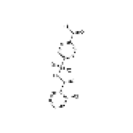 O=C(Cl)c1ccc(S(=O)(=O)NC(=O)c2ccccc2Cl)cc1